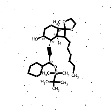 CCCCCCC1[C@H]2[C@H](C#C[C@@H](O[Si](C)(C)C(C)(C)C)C3CCCCC3)[C@@H](O)CC[C@@]2(C)C12OCCO2